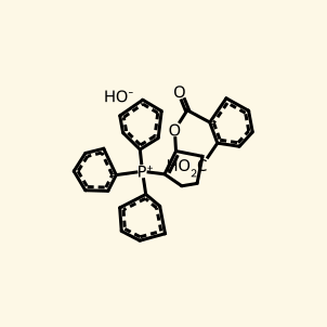 O=C(O)c1ccccc1C(=O)OC1=C([P+](c2ccccc2)(c2ccccc2)c2ccccc2)CCC1.[OH-]